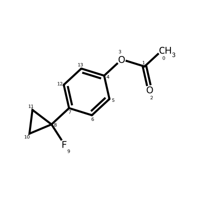 CC(=O)Oc1ccc(C2(F)CC2)cc1